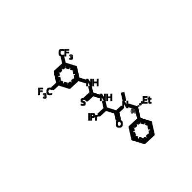 CC[C@H](c1ccccc1)N(C)C(=O)C(NC(=S)Nc1cc(C(F)(F)F)cc(C(F)(F)F)c1)C(C)C